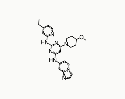 CCc1ccnc(Nc2nc(Nc3ccn4ccnc4c3)cc(N3CCC(OC)CC3)n2)c1